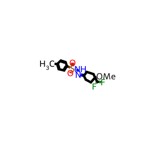 COC1(C(F)F)CCC(=NNS(=O)(=O)c2ccc(C)cc2)CC1